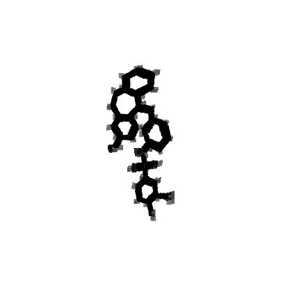 O=S(=O)(Nc1cccc(C=C2c3ccccc3CCc3cc(Cl)ccc32)c1)c1ccc(Cl)c(Cl)c1